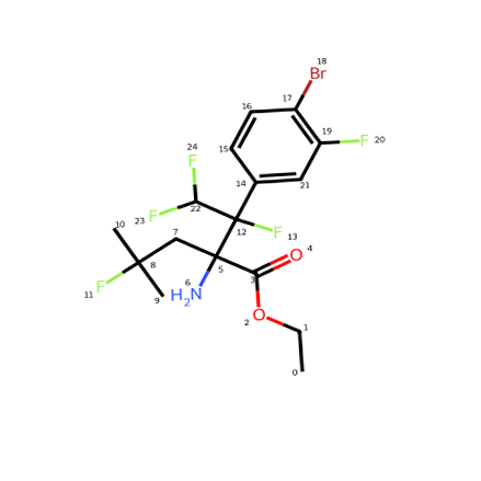 CCOC(=O)C(N)(CC(C)(C)F)C(F)(c1ccc(Br)c(F)c1)C(F)F